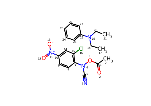 CC(=O)ON(C#N)c1ccc([N+](=O)[O-])cc1Cl.CCN(CC)c1ccccc1